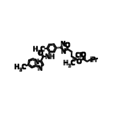 Cc1ccn2c(C(=O)Nc3cc(-c4noc(CC[C@](C)(OC(=O)CC(C)C)C(F)(F)F)n4)ccc3C)cnc2c1